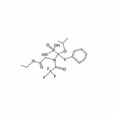 CCOC(=O)CN(C(=O)C(F)(F)F)C(OC(C)C)(Sc1ccccc1)P(=O)(O)O